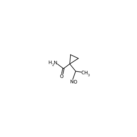 CC(N=O)C1(C(N)=O)CC1